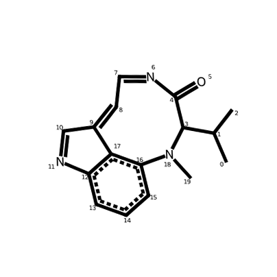 CC(C)C1C(=O)/N=C\C=C2/C=Nc3cccc(c32)N1C